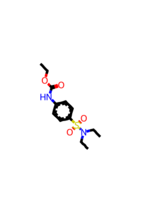 CCOC(=O)Nc1ccc(S(=O)(=O)N(CC)CC)cc1